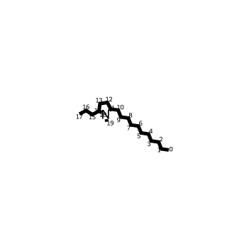 CCCCCCCCCCCC1CCC(CCC)N1C